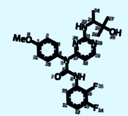 COc1ccc(N(C(=O)Nc2cccc(F)c2F)c2ccnc(NC(C)C(C)(C)O)n2)cc1